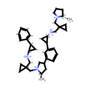 C[C@@H]1CC(c2cccc(C3C[C@@H]3NCC3(CN4CCC[C@@H]4C)CC3)c2)CN1CC1(CNC2CC2c2ccccc2)CC1